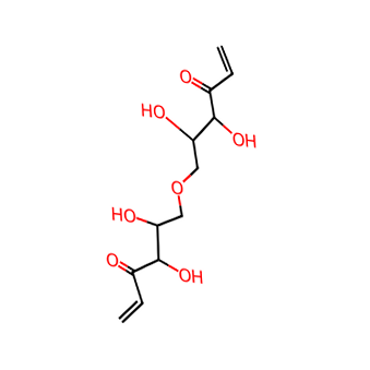 C=CC(=O)C(O)C(O)COCC(O)C(O)C(=O)C=C